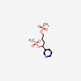 CS(=O)(=O)OCCCC(OS(C)(=O)=O)c1cccnc1